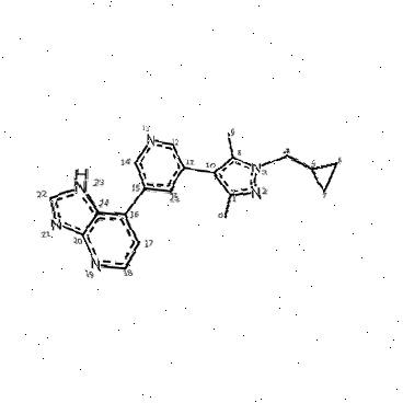 Cc1nn(CC2CC2)c(C)c1-c1cncc(-c2ccnc3nc[nH]c23)c1